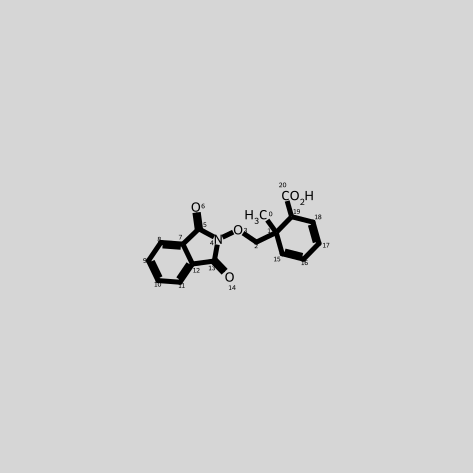 CC1(CON2C(=O)c3ccccc3C2=O)C=CC=CC1C(=O)O